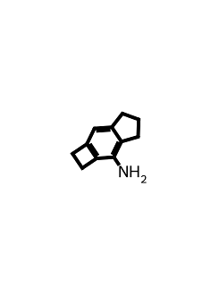 Nc1c2c(cc3c1CC3)CCC2